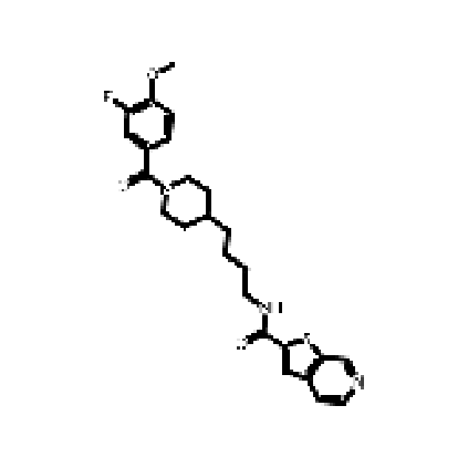 COc1ccc(C(=O)N2CCC(CCCCNC(=O)c3cc4ccncc4s3)CC2)cc1F